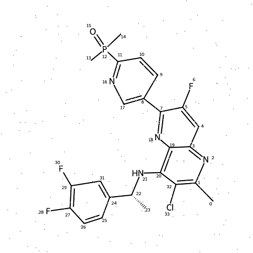 Cc1nc2cc(F)c(-c3ccc(P(C)(C)=O)nc3)nc2c(N[C@H](C)c2ccc(F)c(F)c2)c1Cl